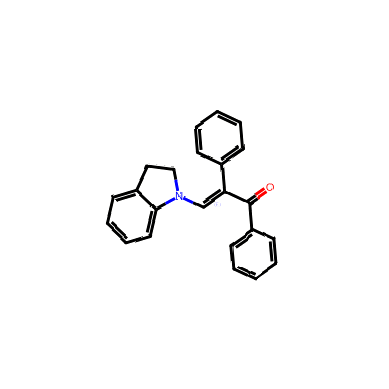 O=C(/C(=C/N1CCc2ccccc21)c1ccccc1)c1ccccc1